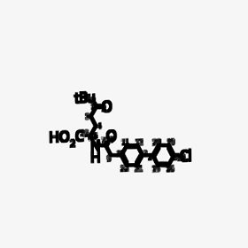 CC(C)(C)C(=O)CC[C@H](NC(=O)Cc1ccc(-c2ccc(Cl)cc2)cc1)C(=O)O